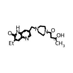 CCc1cc2ncc(CN3CCN(C(=O)C[C@H](C)O)CC3)cc2[nH]c1=O